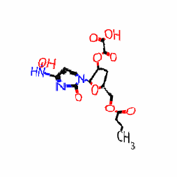 CCCC(=O)OC[C@@H]1CC(OC(=O)C(=O)O)[C@H](n2ccc(NO)nc2=O)O1